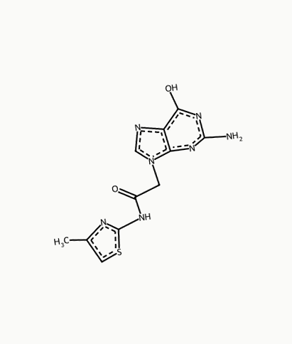 Cc1csc(NC(=O)Cn2cnc3c(O)nc(N)nc32)n1